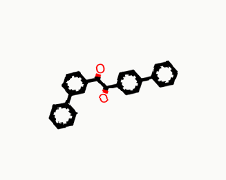 O=C(C(=O)c1cccc(-c2ccccc2)c1)c1ccc(-c2ccccc2)cc1